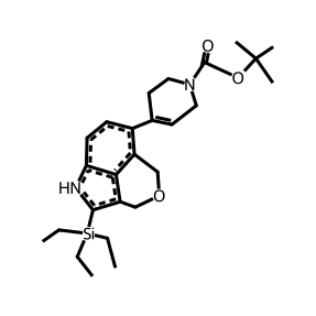 CC[Si](CC)(CC)c1[nH]c2ccc(C3=CCN(C(=O)OC(C)(C)C)CC3)c3c2c1COC3